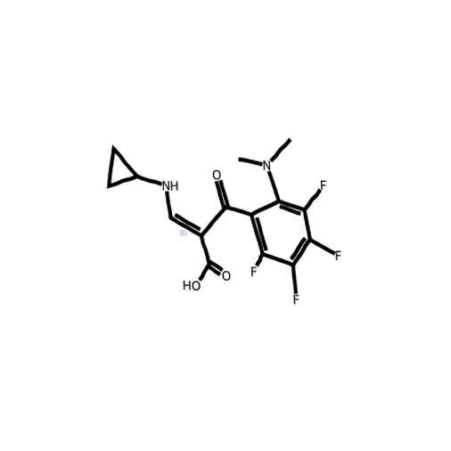 CN(C)c1c(F)c(F)c(F)c(F)c1C(=O)/C(=C\NC1CC1)C(=O)O